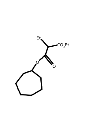 CCOC(=O)C(CC)C(=O)OC1CCCCCC1